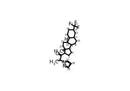 CC(C(=O)C1CCC2C3CCC4CC(C(F)(F)F)CCC4[C@H]3CCC12C)n1cccn1